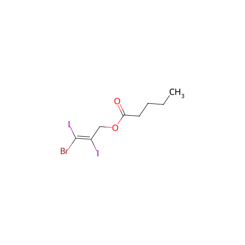 CCCCC(=O)OCC(I)=C(Br)I